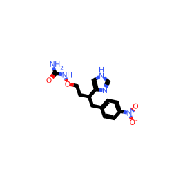 NC(=O)NOCCC(Cc1ccc([N+](=O)[O-])cc1)c1c[nH]cn1